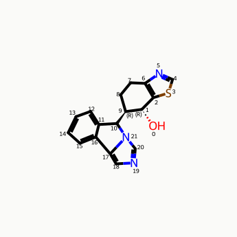 O[C@H]1c2scnc2CC[C@@H]1C1c2ccccc2-c2cncn21